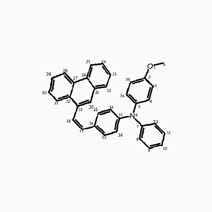 COc1ccc(N(c2ccccc2)c2ccc(/C=C\c3cc4ccccc4c4ccccc34)cc2)cc1